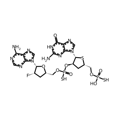 Nc1nc2c(ncn2[C@@H]2S[C@H](COP(=O)(O)S)C[C@H]2OP(=O)(S)OC[C@@H]2C[C@H](F)[C@H](n3cnc4c(N)ncnc43)O2)c(=O)[nH]1